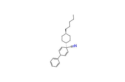 CCCCC[C@H]1CC[C@H](C2(C#N)C=CC(c3ccccc3)C=C2)CC1